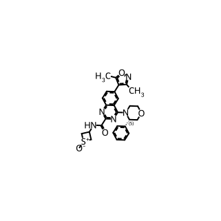 Cc1noc(C)c1-c1ccc2nc(C(=O)NC3C[S+]([O-])C3)nc(N3CCOC[C@@H]3c3ccccc3)c2c1